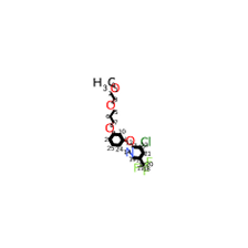 COCCOCCCOc1[c]c(Oc2ncc(C(F)(F)F)cc2Cl)ccc1